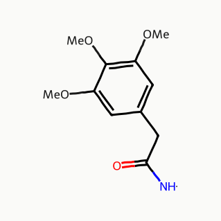 COc1cc(CC([NH])=O)cc(OC)c1OC